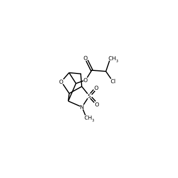 CC(Cl)C(=O)OC1C2CC3C(O2)C1N(C)S3(=O)=O